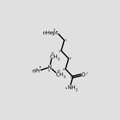 CCCCCCCCCCCC(N)=O.CCCN(C)C